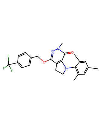 Cc1cc(C)c(N2CCc3c(OCc4ccc(C(F)(F)F)cc4)nn(C)c(=O)c32)c(C)c1